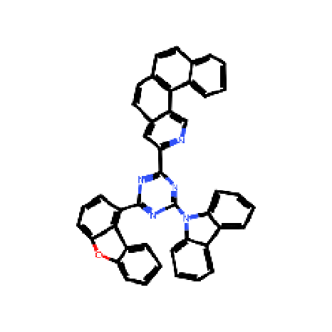 c1ccc2c(c1)ccc1ccc3cc(-c4nc(-c5cccc6oc7ccccc7c56)nc(-n5c6ccccc6c6ccccc65)n4)ncc3c12